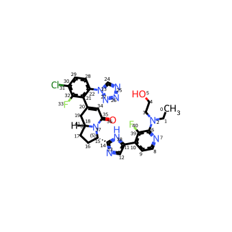 CCN(CCO)c1nccc(-c2cnc([C@@H]3CC[C@@H]4CC(c5c(-n6cnnn6)ccc(Cl)c5F)=CC(=O)N43)[nH]2)c1F